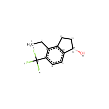 CCc1c(C(F)(F)F)ccc2c1CC[C@@H]2O